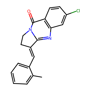 Cc1ccccc1/C=C1\CCn2c1nc1cc(Cl)ccc1c2=O